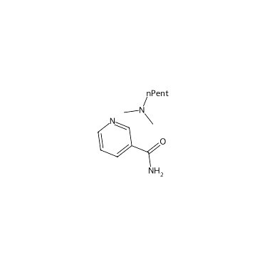 CCCCCN(C)C.NC(=O)c1cccnc1